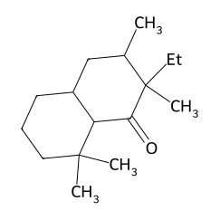 CCC1(C)C(=O)C2C(CCCC2(C)C)CC1C